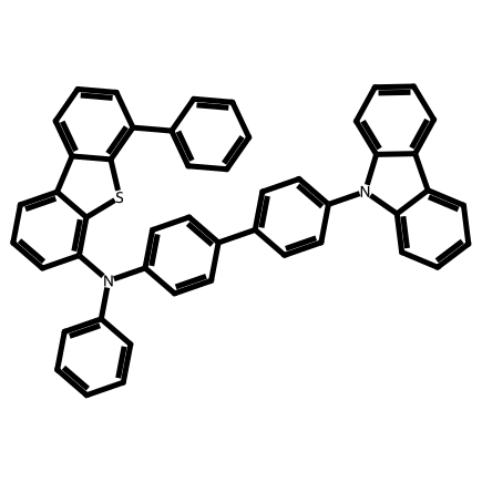 c1ccc(-c2cccc3c2sc2c(N(c4ccccc4)c4ccc(-c5ccc(-n6c7ccccc7c7ccccc76)cc5)cc4)cccc23)cc1